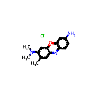 Cc1cc2nc3ccc(N)cc3oc-2cc1=[N+](C)C.[Cl-]